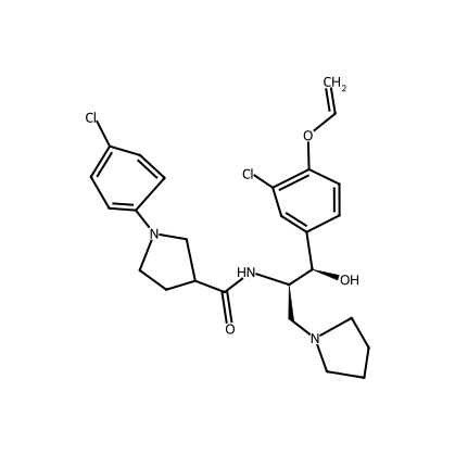 C=COc1ccc([C@@H](O)[C@@H](CN2CCCC2)NC(=O)C2CCN(c3ccc(Cl)cc3)C2)cc1Cl